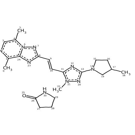 Cc1ncc(C)n2nc(C=Cc3nc(N4CCC(C)C4)nn3C)nc12.O=C1CCCN1